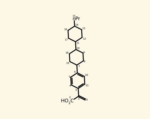 C=C(C(=O)O)c1ccc(C2CCC(C3CCC(CCC)CC3)CC2)cc1